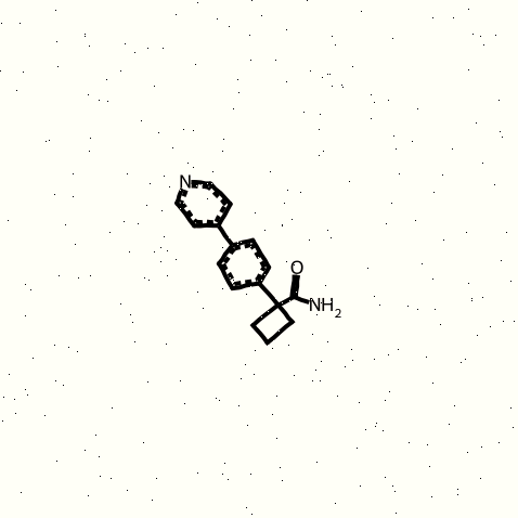 NC(=O)C1(c2ccc(-c3ccncc3)cc2)CCC1